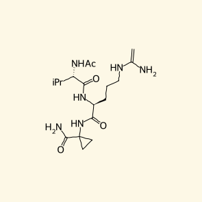 C=C(N)NCCC[C@H](NC(=O)[C@@H](NC(C)=O)C(C)C)C(=O)NC1(C(N)=O)CC1